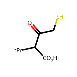 CCCC(C(=O)O)C(=O)CS